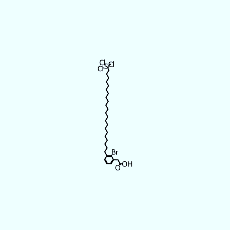 O=C(O)Cc1cccc(CCCCCCCCCCCCCCCCCCCCCC[Si](Cl)(Cl)Cl)c1Br